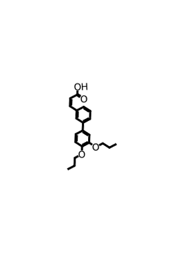 CCCOc1ccc(-c2cccc(/C=C\C(=O)O)c2)cc1OCCC